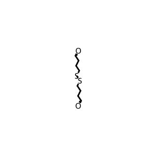 O=CCCCSSCCCC=O